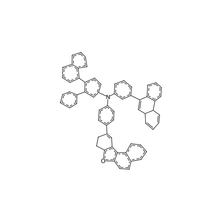 C1=CC2C=C(c3cccc(N(c4ccc(C5=Cc6c(oc7ccc8ccccc8c67)CC5)cc4)c4ccc(-c5cccc6ccccc56)c(-c5ccccc5)c4)c3)c3ccccc3C2C=C1